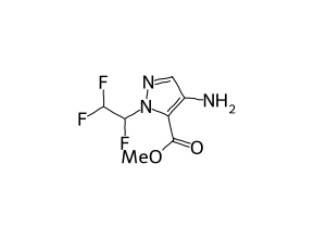 COC(=O)c1c(N)cnn1C(F)C(F)F